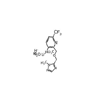 Cn1ncnc1COCc1nc(C(F)(F)F)ccc1C(=O)O.O.[Li+].[OH-]